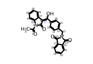 CC(=O)N1C(=O)/C(=C(/O)c2ccc(CN3C(=O)c4ccccc4C3=O)cc2)c2ccccc21